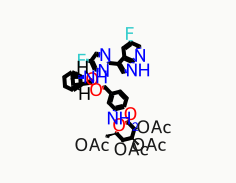 CC(=O)OC[C@H]1O[C@@H](Oc2ccc(COC(=O)[C@H]3C4CCC(CC4)[C@@H]3Nc3nc(-c4c[nH]c5ncc(F)cc45)ncc3F)cc2N)[C@H](OC(C)=O)[C@@H](OC(C)=O)[C@H]1OC(C)=O